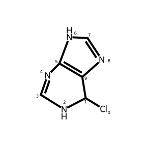 ClC1NC=Nc2[nH]cnc21